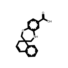 O=C(O)c1ccc2c(c1)NCC1(CC=Cc3ccccc31)CO2